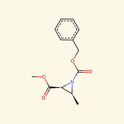 COC(=O)[C@@H]1[C@H](C)N1C(=O)OCc1ccccc1